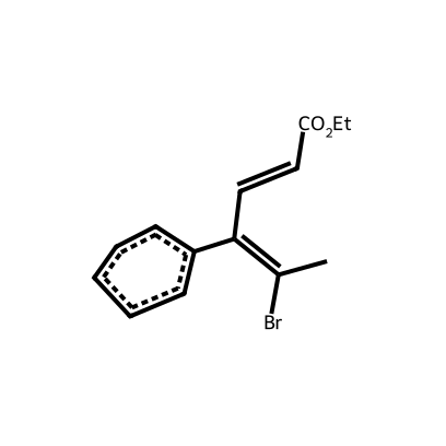 CCOC(=O)/C=C/C(=C(\C)Br)c1ccccc1